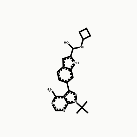 CC(C)(C)n1nc(-c2ccc3cc(C(O)NC4CCC4)[nH]c3c2)c2c(N)ncnc21